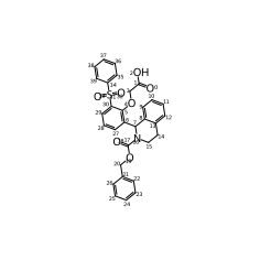 O=C(O)COc1c(C2c3ccccc3CCN2C(=O)OCc2ccccc2)cccc1S(=O)(=O)c1ccccc1